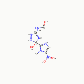 Cn1c([N+](=O)[O-])cnc1C1(O)N=NC(NC=O)=N1